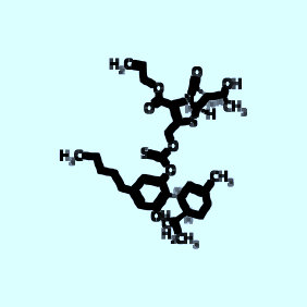 C=CCOC(=O)C1=C(COC(=S)Oc2cc(CCCCC)cc(O)c2[C@@H]2C=C(C)CC[C@H]2C(=C)C)S[C@@H]2[C@@H]([C@@H](C)O)C(=O)N12